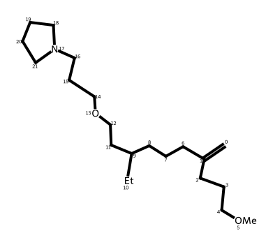 C=C(CCCOC)CCCC(CC)CCOCCCN1CCCC1